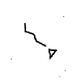 [CH2]CCCC.[CH]1CC1